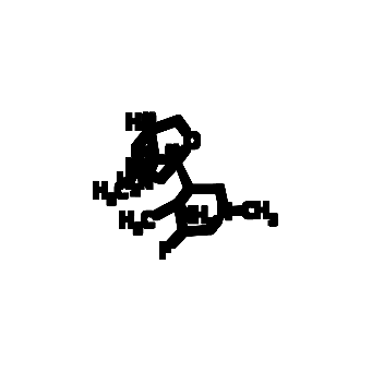 CN1CC(F)C(C)(N)C([C@]23CN(C)C[C@H](CO2)[C@H]3N)C1